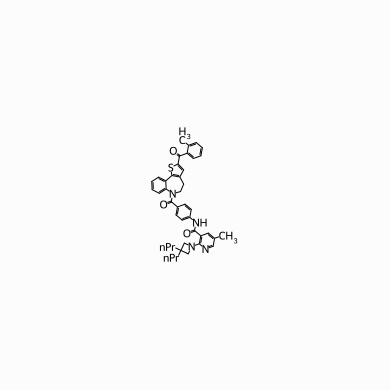 CCCC1(CCC)CN(c2ncc(C)cc2C(=O)Nc2ccc(C(=O)N3CCc4cc(C(=O)c5ccccc5C)sc4-c4ccccc43)cc2)C1